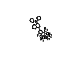 CC1(C)c2cc(-c3ccc(N(c4ccccc4)c4ccccc4)c4ccccc34)cc(F)c2C(C)(C)C1(C)C